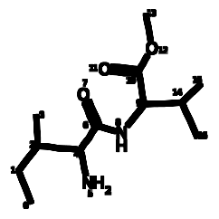 CCC(C)C(N)C(=O)NC(C(=O)OC)C(C)C